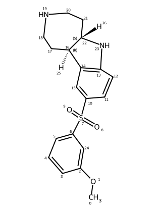 COc1cccc(S(=O)(=O)c2ccc3c(c2)[C@H]2CCNCC[C@@H]2N3)c1